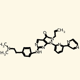 C=CCn1c(=O)c2cnc(Nc3ccc(CCN(C)C)cc3)nc2n1-c1cccc(-c2cnccn2)n1